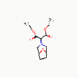 CCOC(=O)C(C(=O)OCC)N1CC2CCC(C1)O2